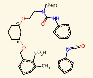 CCCCCN(CCO[C@H]1CCC[C@@H](OCc2cccc(C)c2C(=O)O)C1)C(=O)Nc1ccccc1.O=C=Nc1ccccc1